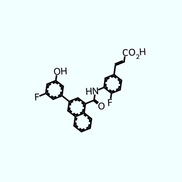 O=C(O)C=Cc1ccc(F)c(NC(=O)c2cc(-c3cc(O)cc(F)c3)cc3ccccc23)c1